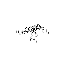 C=CCCC(C=O)S(=O)(=O)N(Cc1ccc(OC)cc1)Cc1ccc(OC)cc1